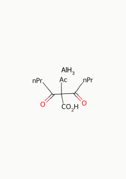 CCCC(=O)C(C(C)=O)(C(=O)O)C(=O)CCC.[AlH3]